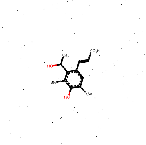 CC(O)c1c(C=CC(=O)O)cc(C(C)(C)C)c(O)c1C(C)(C)C